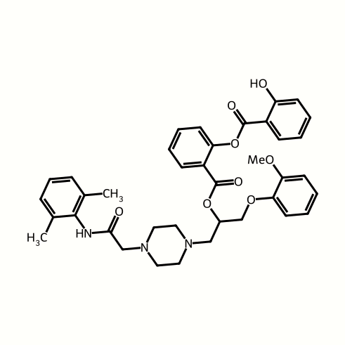 COc1ccccc1OCC(CN1CCN(CC(=O)Nc2c(C)cccc2C)CC1)OC(=O)c1ccccc1OC(=O)c1ccccc1O